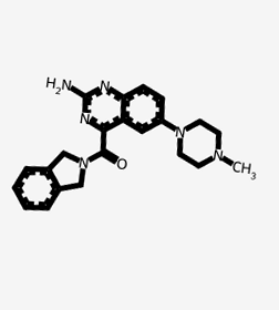 CN1CCN(c2ccc3nc(N)nc(C(=O)N4Cc5ccccc5C4)c3c2)CC1